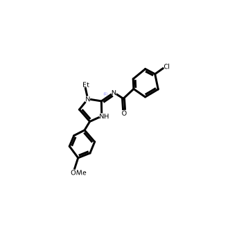 CCn1cc(-c2ccc(OC)cc2)[nH]/c1=N\C(=O)c1ccc(Cl)cc1